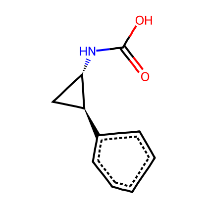 O=C(O)N[C@H]1C[C@@H]1c1ccccc1